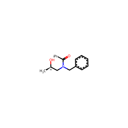 CC(C)C(=O)N(Cc1ccccc1)C[C@@H](C)O